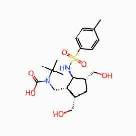 Cc1ccc(S(=O)(=O)N[C@H]2[C@H](CO)C[C@H](CO)[C@@H]2CN(C(=O)O)C(C)(C)C)cc1